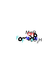 COc1ccc2ncc(F)c(C(CCO)C3(C(=O)O)CCN(C/C=C/c4cc(F)ccc4F)C3)c2c1